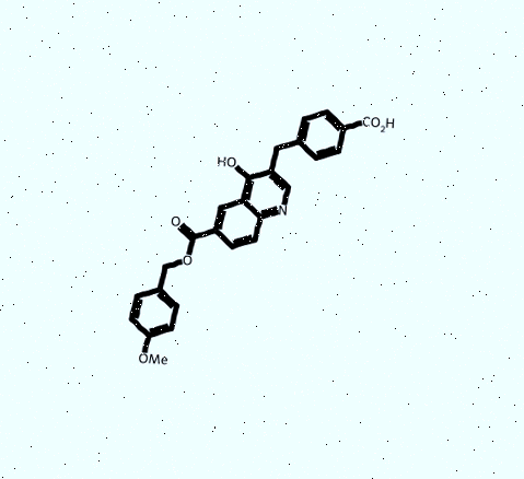 COc1ccc(COC(=O)c2ccc3ncc(Cc4ccc(C(=O)O)cc4)c(O)c3c2)cc1